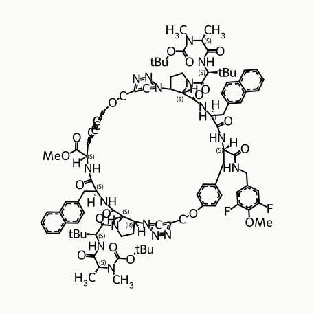 COC(=O)[C@H]1NC(=O)[C@H](Cc2ccc3ccccc3c2)NC(=O)[C@@H]2[C@@H](CCN2C(=O)[C@@H](NC(=O)[C@H](C)N(C)C(=O)OC(C)(C)C)C(C)(C)C)n2cc(nn2)COc2ccc(cc2)C[C@@H](C(=O)NCc2cc(F)c(OC)c(F)c2)NC(=O)[C@H](Cc2ccc3ccccc3c2)NC(=O)[C@@H]2C(CCN2C(=O)[C@@H](NC(=O)[C@H](C)N(C)C(=O)OC(C)(C)C)C(C)(C)C)n2cc(nn2)COc2ccc1cc2